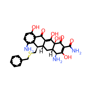 NC(=O)C1=C(O)[C@@H](N)[C@@H]2C[C@H]3C(=C(O)[C@]2(O)C1=O)C(=O)c1c(O)ccc(N)c1[C@@H]3CSCc1ccccc1